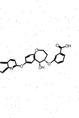 O=C(O)c1cccc(O[C@@H]2CCOc3ccc(Oc4ccc5ccccc5n4)cc3[C@@H]2O)c1